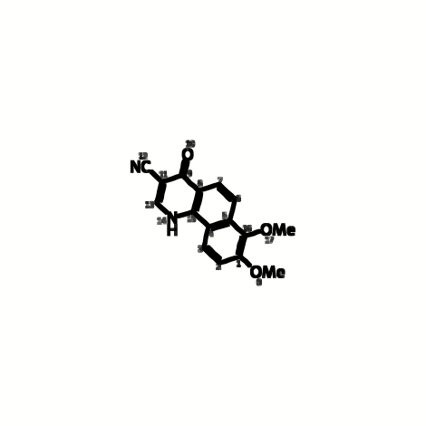 COc1ccc2c(ccc3c(=O)c(C#N)c[nH]c32)c1OC